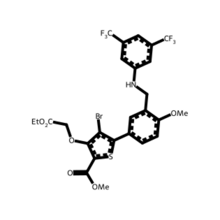 CCOC(=O)COc1c(C(=O)OC)sc(-c2ccc(OC)c(CNc3cc(C(F)(F)F)cc(C(F)(F)F)c3)c2)c1Br